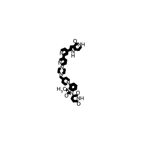 Cn1c(=O)n(C2CCC(=O)NC2=O)c2cccc(N3CCC(CN4CCN(c5ccc(-c6cc(-c7cc8c([nH]7)CCNC8=O)ccn6)cn5)CC4)CC3)c21